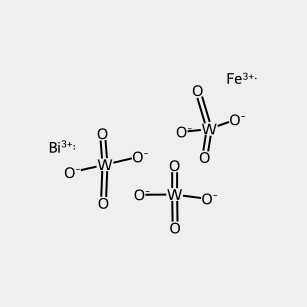 [Bi+3].[Fe+3].[O]=[W](=[O])([O-])[O-].[O]=[W](=[O])([O-])[O-].[O]=[W](=[O])([O-])[O-]